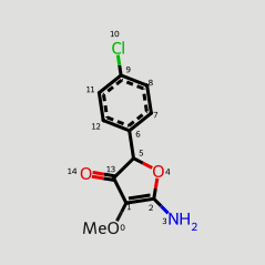 COC1=C(N)OC(c2ccc(Cl)cc2)C1=O